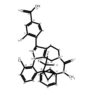 CN(C(=O)N1CCc2c(-c3ccc(C(=O)O)cc3F)nn(-c3c(Cl)cccc3C3(C(F)(F)F)CC3)c2C1)c1ccccc1